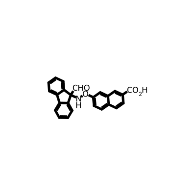 O=CC1(NOc2ccc3ccc(C(=O)O)cc3c2)c2ccccc2-c2ccccc21